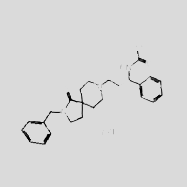 CC(C)C(=O)N[C@@H](CCN1CCC2(CC1)CCN(Cc1ccccc1)C2=O)c1ccccc1.Cl